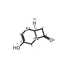 O=C1C[C@@H]2SC=C(O)CN12